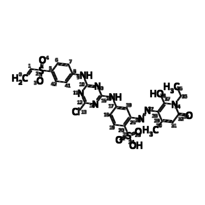 C=CS(=O)(=O)c1ccc(Nc2nc(Cl)nc(Nc3ccc(S(=O)(=O)O)c(N=Nc4c(C)cc(=O)n(CC)c4O)c3)n2)cc1